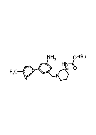 CC(C)(C)OC(=O)N[C@H]1CCCN(Cc2cc(N)cc(-c3ccc(C(F)(F)F)nc3)c2)C1